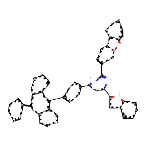 c1ccc(-c2c3ccccc3c(-c3ccc(-c4cc(-c5cc6ccccc6o5)nc(-c5ccc6c(c5)oc5ccccc56)n4)cc3)c3ccccc23)cc1